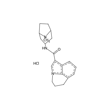 CN1C2CCC1CC(NC(=O)c1cn3c4c(cccc14)CCC3)C2.Cl